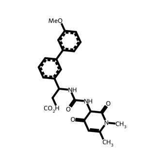 COc1cccc(-c2cccc(C(CC(=O)O)NC(=O)NC3C(=O)C=C(C)N(C)C3=O)c2)c1